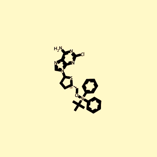 CC(C)(C)[Si](OC[C@@H]1CCC(n2cnc3c(N)nc(Cl)nc32)S1)(c1ccccc1)c1ccccc1